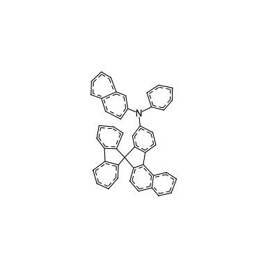 c1ccc(N(c2ccc3c(c2)C2(c4ccccc4-c4ccccc42)c2ccc4ccccc4c2-3)c2ccc3ccccc3c2)cc1